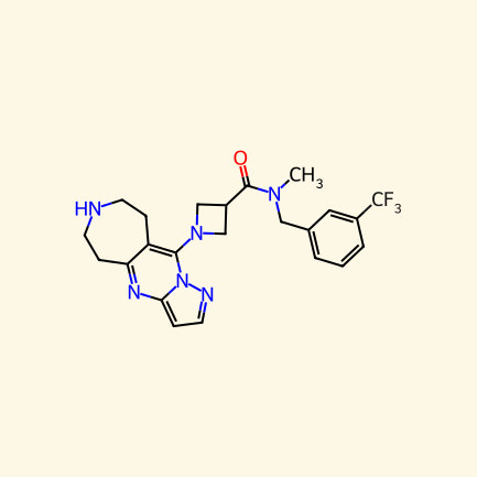 CN(Cc1cccc(C(F)(F)F)c1)C(=O)C1CN(c2c3c(nc4ccnn24)CCNCC3)C1